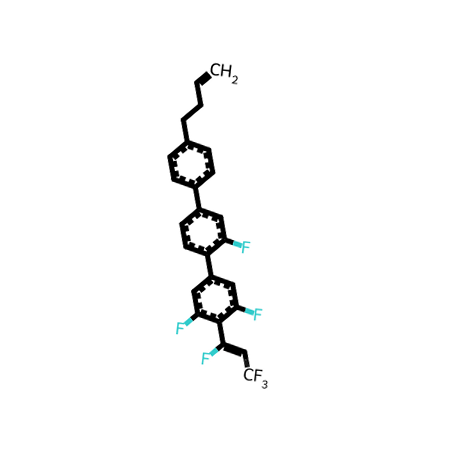 C=CCCc1ccc(-c2ccc(-c3cc(F)c(/C(F)=C/C(F)(F)F)c(F)c3)c(F)c2)cc1